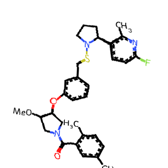 COC1CN(C(=O)c2cc(C)ccc2C)CC1Oc1cccc(CSN2CCCC2c2ccc(F)nc2C)c1